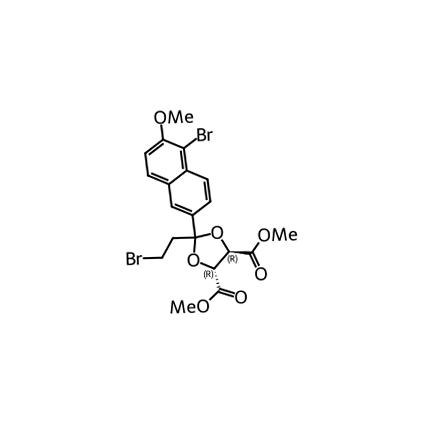 COC(=O)[C@@H]1OC(CCBr)(c2ccc3c(Br)c(OC)ccc3c2)O[C@H]1C(=O)OC